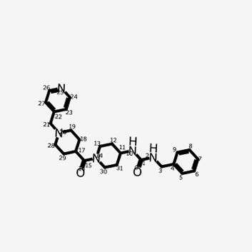 O=C(NCc1ccccc1)NC1CCN(C(=O)C2CCN(Cc3ccncc3)CC2)CC1